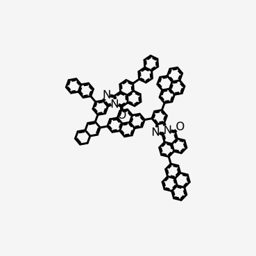 O=c1c2cccc3c(-c4ccc5ccccc5c4)ccc(c32)c2nc3c(-c4ccc5ccccc5c4)cc(C4=CC5=CC=CCC5C=C4c4cc5ccc6cc(-c7cc(-c8cc9ccc%10cccc%11ccc(c8)c9c%10%11)cc8c7nc7c9ccc(-c%10cc%11ccc%12cccc%13ccc(c%10)c%11c%12%13)c%10cccc(c(=O)n87)c%109)cc7ccc(c4)c5c67)cc3n12